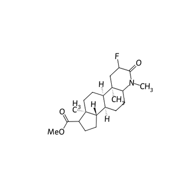 COC(=O)C1CC[C@H]2[C@@H]3CCC4N(C)C(=O)C(F)C[C@]4(C)[C@@H]3CC[C@]12C